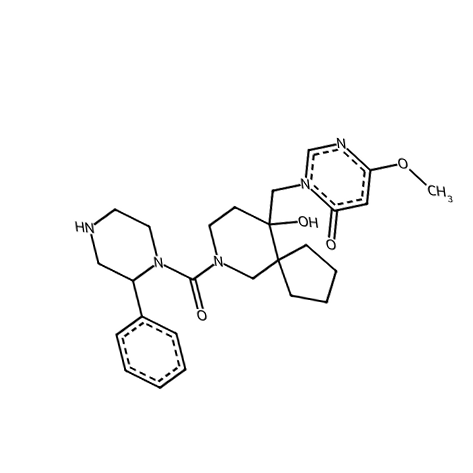 COc1cc(=O)n(CC2(O)CCN(C(=O)N3CCNCC3c3ccccc3)CC23CCCC3)cn1